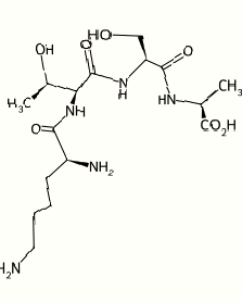 C[C@H](NC(=O)[C@H](CO)NC(=O)[C@@H](NC(=O)[C@@H](N)CCCCN)[C@@H](C)O)C(=O)O